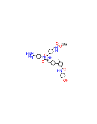 Cc1ccc(C(=O)N[C@H]2CC[C@H](O)CC2)cc1-c1ccc(C[C@H](NC(=O)[C@H]2CC[C@H](CNC(=O)OC(C)(C)C)CC2)C(=O)Nc2ccc(-c3nn[nH]n3)cc2)cc1